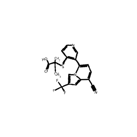 CC(C)(Sc1ccncc1-c1ccc(C#N)c2cc(C(F)(F)F)cn12)C(=O)O